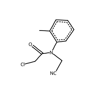 Cc1ccccc1N(CC#N)C(=O)CCl